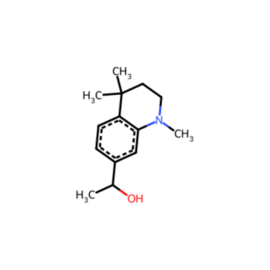 CC(O)c1ccc2c(c1)N(C)CCC2(C)C